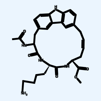 COC(=O)[C@@H]1CC=CCc2ccc3[nH]c4ccc(cc4c3c2)CC(NC(C)=O)C(=O)N[C@@H](CCCCN)C(=O)N1